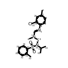 Cc1ccc(N=CN(C)SN(C(C)C)S(=O)(=O)c2ccccc2C)c(Cl)c1